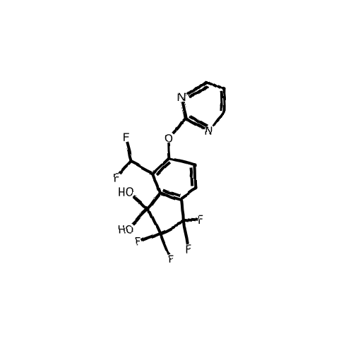 OC1(O)c2c(ccc(Oc3ncccn3)c2C(F)F)C(F)(F)C1(F)F